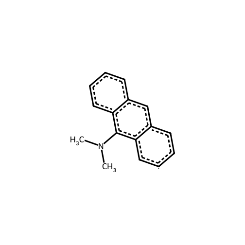 CN(C)c1c2c[c]ccc2cc2ccccc12